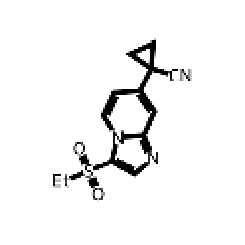 CCS(=O)(=O)c1cnc2cc(C3(C#N)CC3)ccn12